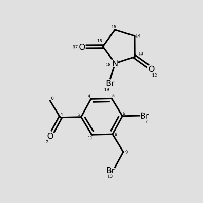 CC(=O)c1ccc(Br)c(CBr)c1.O=C1CCC(=O)N1Br